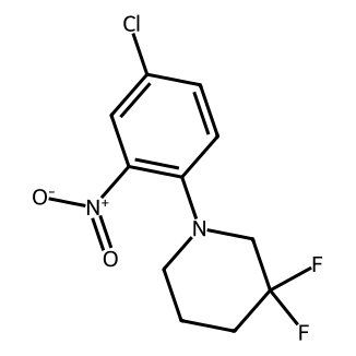 O=[N+]([O-])c1cc(Cl)ccc1N1CCCC(F)(F)C1